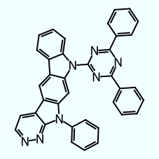 c1ccc(-c2nc(-c3ccccc3)nc(-n3c4ccccc4c4cc5c6ccnnc6n(-c6ccccc6)c5cc43)n2)cc1